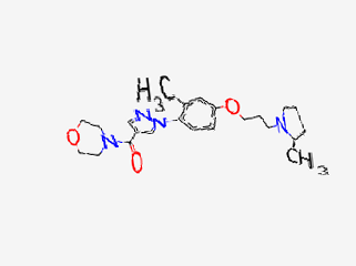 Cc1cc(OCCCN2CCC[C@H]2C)ccc1-n1cc(C(=O)N2CCOCC2)cn1